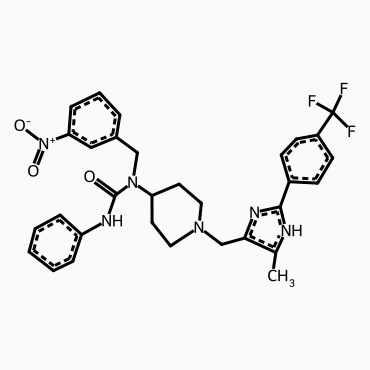 Cc1[nH]c(-c2ccc(C(F)(F)F)cc2)nc1CN1CCC(N(Cc2cccc([N+](=O)[O-])c2)C(=O)Nc2ccccc2)CC1